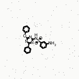 Nc1cccc(S(=O)(=O)Nc2nc(Oc3ccccc3)nc(-c3ccccc3)n2)c1